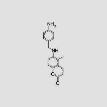 Cc1c(NCc2ccc(N)cc2)ccc2oc(=O)ccc12